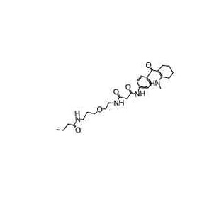 CCCC(=O)NCCCOCCNC(=O)CC(=O)Nc1ccc(C(=O)C2=C(NC)CCCC2)cc1